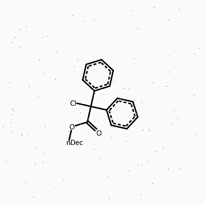 CCCCCCCCCCOC(=O)C(Cl)(c1ccccc1)c1ccccc1